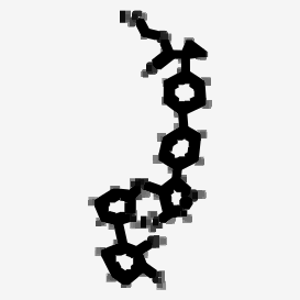 CCOC(=O)C1(c2ccc(-c3ccc(-c4onc(C)c4Nc4cccc(-c5cccc(Cl)c5Cl)n4)cc3)cc2)CC1